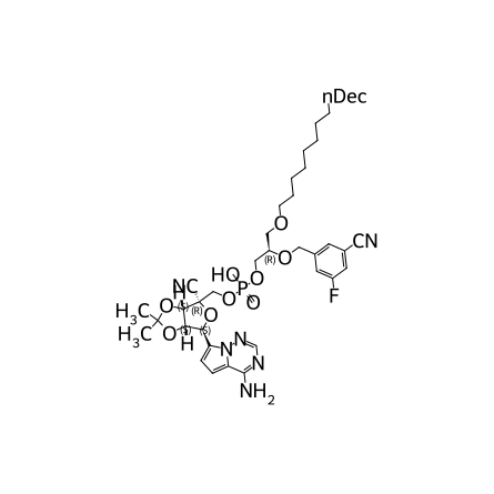 CCCCCCCCCCCCCCCCCCOC[C@H](COP(=O)(O)OC[C@@]1(C#N)O[C@@H](c2ccc3c(N)ncnn23)[C@@H]2OC(C)(C)O[C@@H]21)OCc1cc(F)cc(C#N)c1